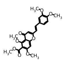 COC(=O)c1c(OC)cc2oc(/C=C/c3ccc(OC)c(OC)c3)cc(=O)c2c1OC